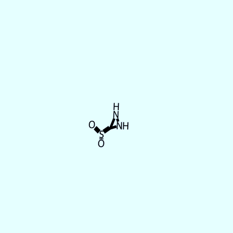 O=S(=O)=C1NN1